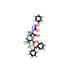 C[C@@]1(Cl)CS[C@H]2[C@H](NC(=O)COc3ccccc3)C(=O)N2[C@H]1C(=O)OC(c1ccccc1)c1ccccc1